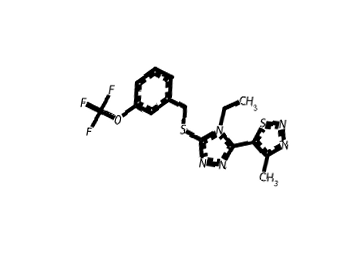 CCn1c(SCc2cccc(OC(F)(F)F)c2)nnc1-c1snnc1C